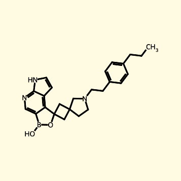 CCCc1ccc(CCN2CCC3(C2)CC2(C3)OB(O)c3cnc4[nH]ccc4c32)cc1